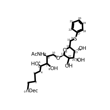 CCCCCCCCCCCCCC[C@@H](O)C(O)[C@H](CO[C@H]1OC(CSc2ccccc2)[C@H](O)[C@H](O)C1O)NC(C)=O